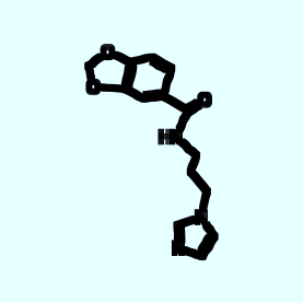 O=C(NCCCn1ccnc1)c1ccc2c(c1)OCO2